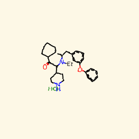 CCN(C(C)Cc1cccc(Oc2ccccc2)c1)C(C(=O)C1CCCCC1)C1CCNCC1.Cl